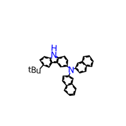 CC(C)(C)c1ccc2[nH]c3ccc(N(c4ccc5ccccc5c4)c4ccc5ccccc5c4)cc3c2c1